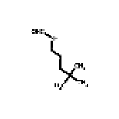 CC(C)(C)CCCN[C]=O